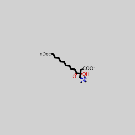 CCCCCCCCCCCCCCCCCC=CC(=O)C(O)(CC(=O)[O-])C[N+](C)(C)C